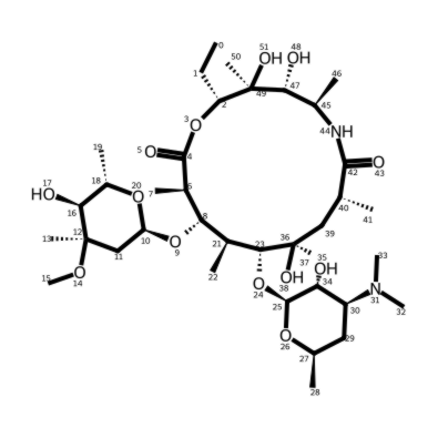 CC[C@H]1OC(=O)[C@H](C)[C@@H](O[C@H]2C[C@@](C)(OC)[C@@H](O)[C@H](C)O2)[C@H](C)[C@@H](O[C@@H]2O[C@H](C)C[C@H](N(C)C)[C@H]2O)[C@](C)(O)C[C@@H](C)C(=O)N[C@H](C)[C@@H](O)[C@]1(C)O